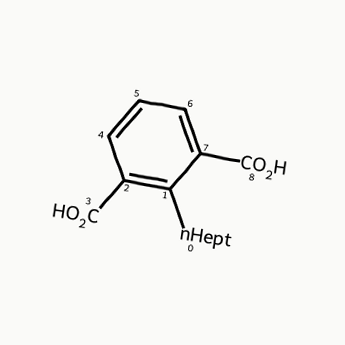 CCCCCCCc1c(C(=O)O)cccc1C(=O)O